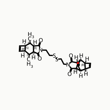 C[C@@H]1[C@@H]2C=C[C@@H]2[C@H](C)[C@@H]2C(=O)N(CCSSCCN3C(=O)[C@@H]4[C@@H]5C=C[C@@H]([C@H]6C=C[C@H]65)[C@@H]4C3=O)C(=O)[C@H]12